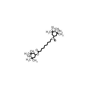 CN1C(C)(C)C[CH]([Co](=[O])[CH2]CCCCCCCC(=O)OC2CC(C)(C)NC(C)(C)C2)CC1(C)C